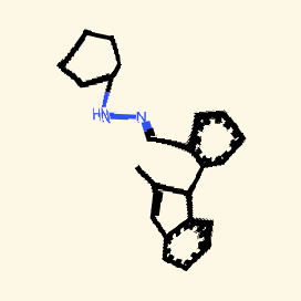 CC1=Cc2ccccc2C1c1ccccc1C=NNC1CCCCC1